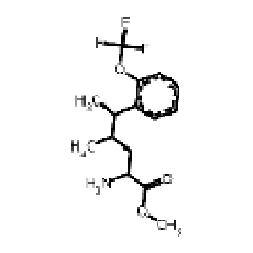 COC(=O)C(N)CC(C)C(C)c1ccccc1OC(F)(F)F